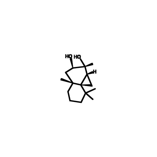 CC1(C)CCC[C@]2(C)C[C@@H](O)[C@](C)(O)[C@@H]3C[C@@]312